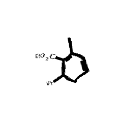 CCOC(=O)C1=C(C)C=CCC1C(C)C